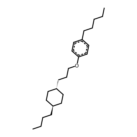 CCCCCc1ccc(OCCC[C@H]2CC[C@H](CCCC)CC2)cc1